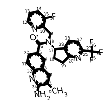 Cc1cc2cc(C(=O)N(Cc3ncccc3F)[C@@H]3CCc4nc(C(F)(F)F)ccc43)ccc2nc1N